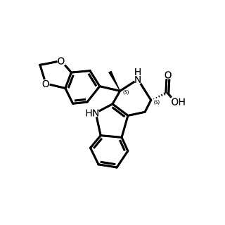 C[C@@]1(c2ccc3c(c2)OCO3)N[C@H](C(=O)O)Cc2c1[nH]c1ccccc21